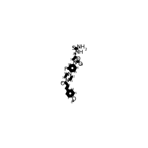 COc1ccc(C=CC(=O)N2CCN(c3ccc(N4C[C@H](CNC(N)=S)OC4=O)cc3F)CC2)cc1